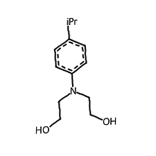 CC(C)c1ccc(N(CCO)CCO)cc1